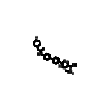 NC[C@H](NC(=O)c1ccc(-c2ccc(NC(=O)CN3CCNCC3)cc2)cc1)C(=O)NO